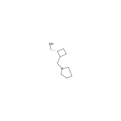 OC[C@@H]1CCC1CN1CCCC1